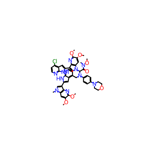 COc1cc2c(nc1OC)c(-c1cc3c(CN(c4ccc(N5CCOCC5)cc4)C(C(=O)N(C)OC)n4cc(-c5cc6c(Cl)ccnc6[nH]5)c5nc(OC)c(OC)cc54)ccnc3[nH]1)cn2C